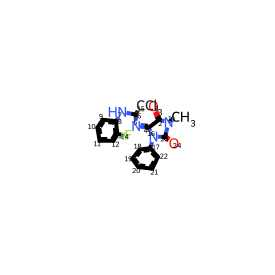 CN1C(=O)C(=NC(Nc2ccccc2F)C(Cl)(Cl)Cl)N(c2ccccc2)C1=O